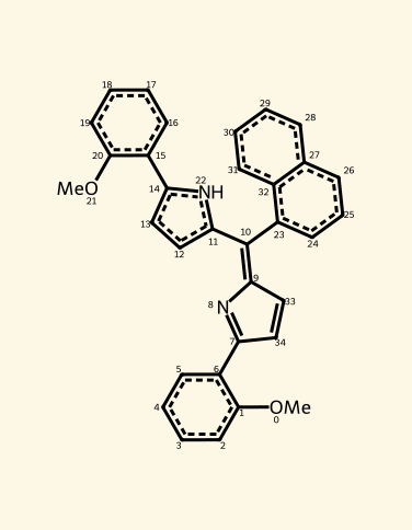 COc1ccccc1C1=N/C(=C(\c2ccc(-c3ccccc3OC)[nH]2)c2cccc3ccccc23)C=C1